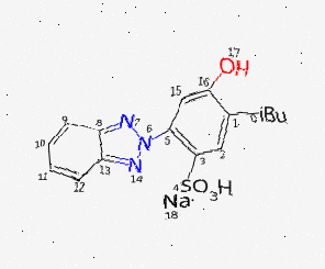 CCC(C)c1cc(S(=O)(=O)O)c(-n2nc3ccccc3n2)cc1O.[Na]